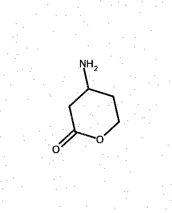 NC1CCOC(=O)C1